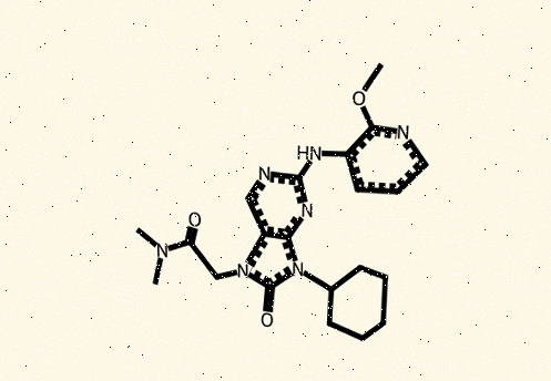 COc1ncccc1Nc1ncc2c(n1)n(C1CCCCC1)c(=O)n2CC(=O)N(C)C